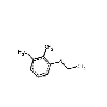 BCSc1cccc(C)c1C